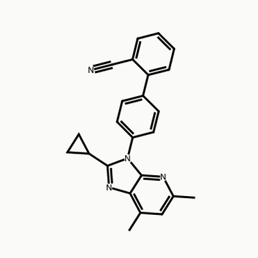 Cc1cc(C)c2nc(C3CC3)n(-c3ccc(-c4ccccc4C#N)cc3)c2n1